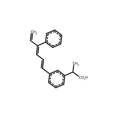 C=CC(=CC=Cc1cccc(C(C)C(=O)O)c1)c1ccccc1